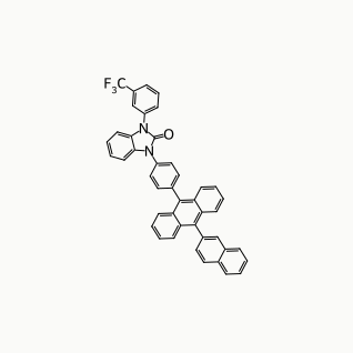 O=c1n(-c2ccc(-c3c4ccccc4c(-c4ccc5ccccc5c4)c4ccccc34)cc2)c2ccccc2n1-c1cccc(C(F)(F)F)c1